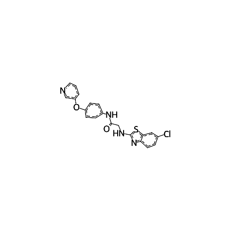 O=C(CNc1nc2ccc(Cl)cc2s1)Nc1ccc(Oc2cccnc2)cc1